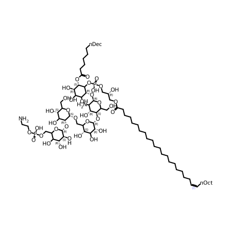 CCCCCCCC/C=C\CCCCCCCCCCCCCCCCCCCC(=O)OC[C@@H](O)COP(=O)(O)OC1[C@H](O[C@H]2OC(CO)[C@@H](O[C@H]3OC(CO[C@H]4OC(CO)[C@@H](O)C(O)[C@H]4O[C@H]4OC(COP(=O)(O)OCCN)C(O)[C@@H](O)[C@@H]4O)[C@@H](O)C(O)[C@H]3O)[C@H](O)C2N)C(O)C(O)[C@@H](O)[C@@H]1OC(=O)CCCCCCCCCCCCCCC